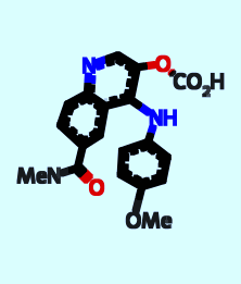 CNC(=O)c1ccc2ncc(OC(=O)O)c(Nc3ccc(OC)cc3)c2c1